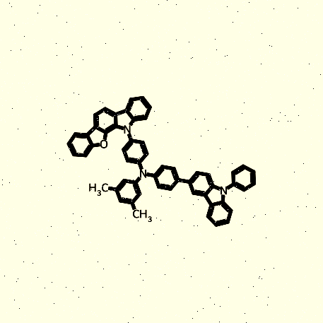 Cc1cc(C)cc(N(c2ccc(-c3ccc4c(c3)c3ccccc3n4-c3ccccc3)cc2)c2ccc(-n3c4ccccc4c4ccc5c6ccccc6oc5c43)cc2)c1